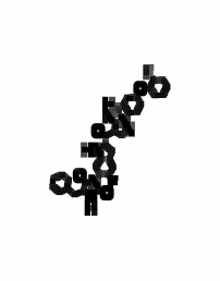 Cc1cc(Oc2ccccc2F)ccc1-n1ncc(C(=O)c2cc3cc(F)c(N4C(=O)NC(Cc5ccccc5)C4=O)cc3[nH]2)c1N